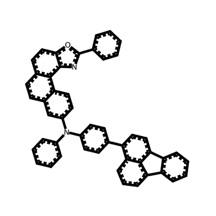 c1ccc(-c2nc3c(ccc4ccc5cc(N(c6ccccc6)c6ccc(-c7ccc8c9c(cccc79)-c7ccccc7-8)cc6)ccc5c43)o2)cc1